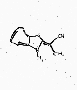 C/C(C#N)=C1/Sc2ccccc2N1C